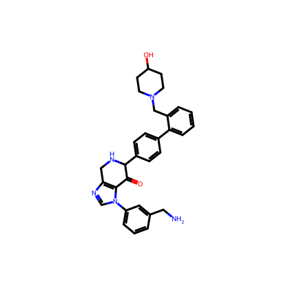 NCc1cccc(-n2cnc3c2C(=O)C(c2ccc(-c4ccccc4CN4CCC(O)CC4)cc2)NC3)c1